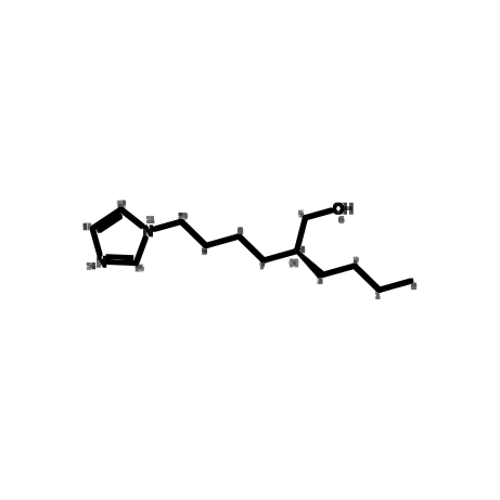 CCCC[C@H](CO)CCCCn1ccnc1